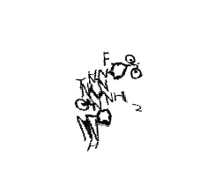 CC(C)Cn1c(=O)n(-c2cccc3[nH]ncc23)c2c(N)nc(Nc3ccc(S(C)(=O)=O)cc3F)nc21